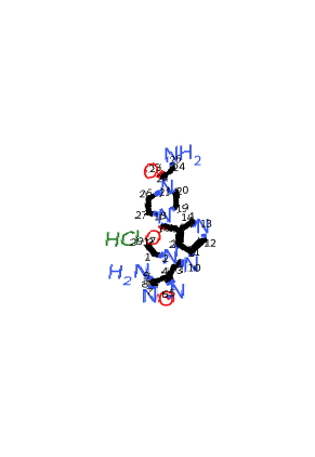 CCn1c(-c2nonc2N)nc2cncc(C(=O)N3CCN(C(=O)CN)CC3)c21.Cl